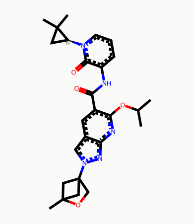 CC(C)Oc1nc2nn(C34COC(C)(C3)C4)cc2cc1C(=O)Nc1cccn([C@H]2CC2(C)C)c1=O